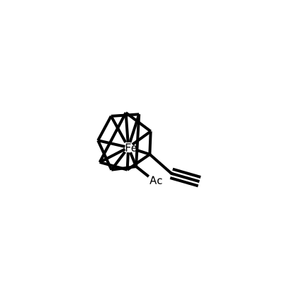 C#C[C]12[CH]3[CH]4[CH]5[CH]1[Fe]45321678[CH]2[CH]1[CH]6[C]7(C(C)=O)[CH]28